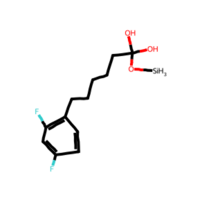 OC(O)(CCCCCc1ccc(F)cc1F)O[SiH3]